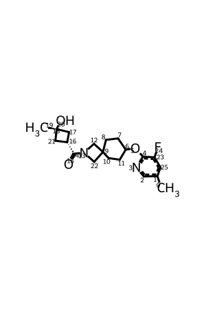 Cc1cnc(OC2CCC3(CC2)CN(C(=O)[C@H]2C[C@@](C)(O)C2)C3)c(F)c1